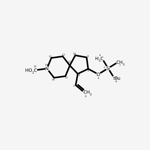 C=CC1C(O[Si](C)(C)C(C)(C)C)CCC12CCN(C(=O)O)CC2